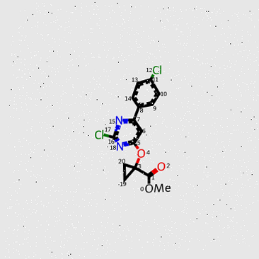 COC(=O)C1(Oc2cc(-c3ccc(Cl)cc3)nc(Cl)n2)CC1